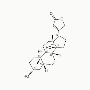 C[C@]12CC[C@H](O)C[C@H]1CC[C@@H]1[C@@H]2CC[C@]2(C)[C@H](C3=CC(=O)OC3)CC[C@]12O